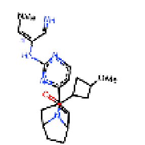 CN/C=C(\C=N)Nc1nccc(C2=CC3CCC(C2)N3C(=O)C2CC(OC)C2)n1